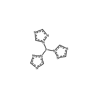 c1ncn(P(n2cncn2)n2cncn2)n1